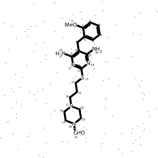 COc1ccccc1Cc1c(N)nc(SCCCN2CCN(C=O)CC2)nc1N